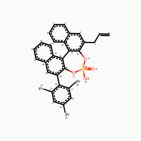 C=CCc1cc2ccccc2c2c1OP(=O)(O)Oc1c(-c3c(C(C)C)cc(C(C)C)cc3C(C)C)cc3ccccc3c1-2